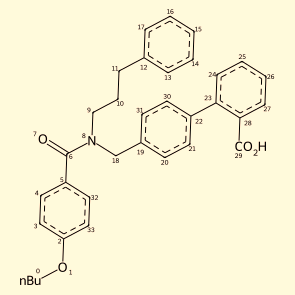 CCCCOc1ccc(C(=O)N(CCCc2ccccc2)Cc2ccc(-c3ccccc3C(=O)O)cc2)cc1